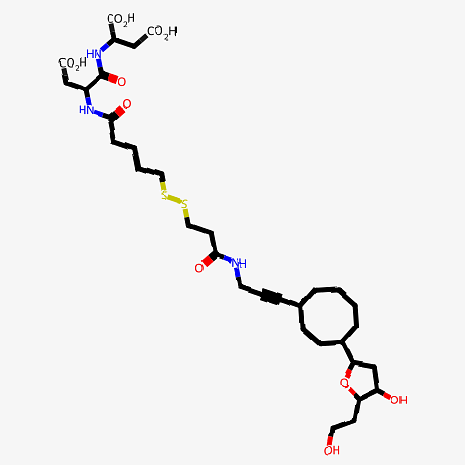 O=C(O)CC(NC(=O)C(CC(=O)O)NC(=O)CCCCSSCCC(=O)NCC#CC1CCCCC(C2CC(O)C(CCO)O2)CC1)C(=O)O